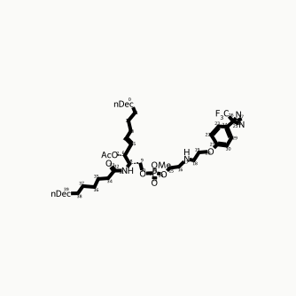 CCCCCCCCCCCCC/C=C/[C@@H](OC(C)=O)[C@H](COP(=O)(OC)OCCNCCOc1ccc(C2(C(F)(F)F)N=N2)cc1)NC(=O)CCCCCCCCCCCCCCC